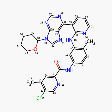 Cc1ccc(NC(=O)c2cc(C(F)(F)F)c(Cl)cn2)cc1Nc1ncccc1-c1ncnc2c1ncn2C1CCCCO1